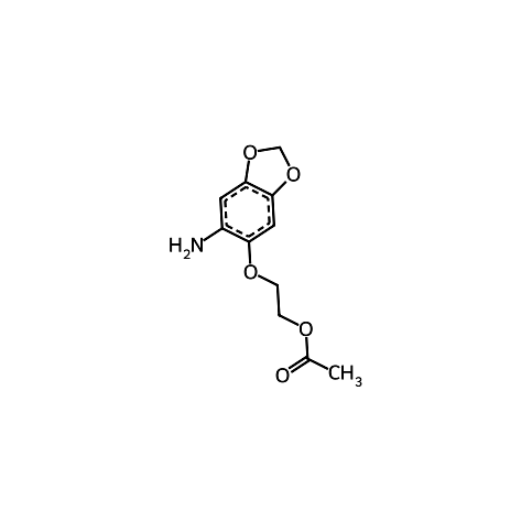 CC(=O)OCCOc1cc2c(cc1N)OCO2